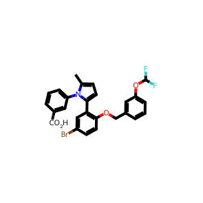 Cc1ccc(-c2cc(Br)ccc2OCc2cccc(OC(F)F)c2)n1-c1cccc(C(=O)O)c1